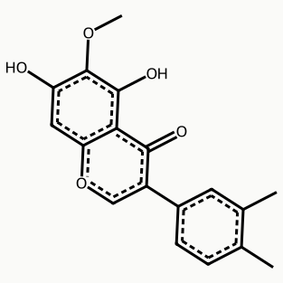 COc1c(O)cc2occ(-c3ccc(C)c(C)c3)c(=O)c2c1O